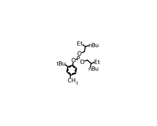 CCCCC(CC)COP(OCC(CC)CCCC)Oc1ccc(C)cc1C(C)(C)C